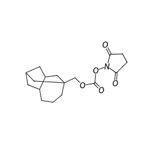 O=C(OCC12CCCC3CC(CC3C1)C2)ON1C(=O)CCC1=O